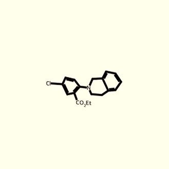 CCOC(=O)c1cc(Cl)ccc1N1CCc2ccccc2C1